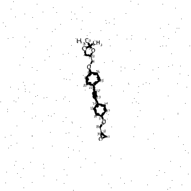 CC1(C)OC[C@H](COc2ccc(C#Cc3ccc(OC[C@H]4CO4)cc3)cc2)O1